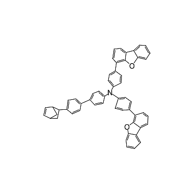 C1=CC2CC1CC2c1ccc(-c2ccc(N(c3ccc(-c4cccc5c4oc4ccccc45)cc3)c3ccc(-c4cccc5c4oc4ccccc45)cc3)cc2)cc1